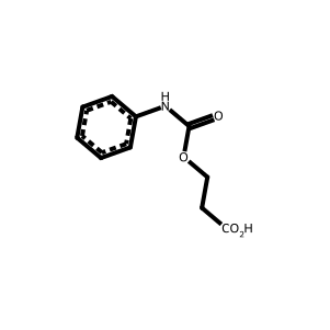 O=C(O)CCOC(=O)Nc1ccccc1